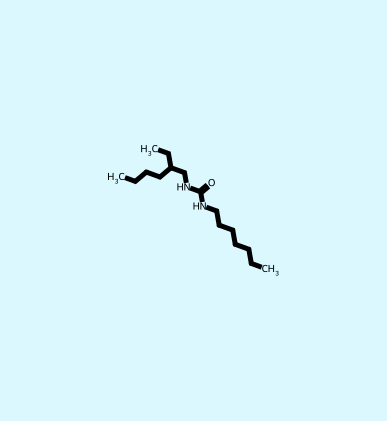 CCCCCCCNC(=O)NCC(CC)CCCC